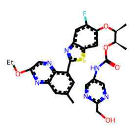 CCOc1cnc2c(-c3nc4cc(F)c(O[C@@H](C)[C@@H](C)OC(=O)Nc5cnc(CO)nc5)cc4s3)cc(C)cc2n1